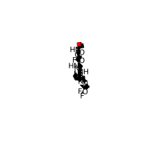 O=C(NC12CC(C1)C2)O[C@H]1CO[C@@H](c2cc(Nc3nccc4nc(CN5CC(OC(F)F)C5)cn34)n[nH]2)[C@H]1F